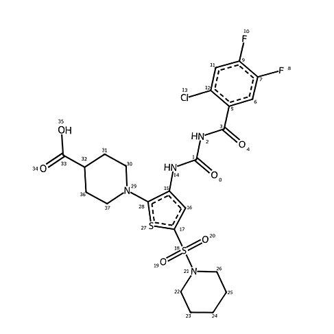 O=C(NC(=O)c1cc(F)c(F)cc1Cl)Nc1cc(S(=O)(=O)N2CCCCC2)sc1N1CCC(C(=O)O)CC1